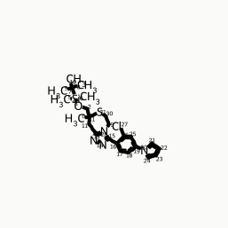 CC1(CO[Si](C)(C)C(C)(C)C)Cc2nnc(-c3ccc(-n4cccc4)cc3Cl)n2CCS1